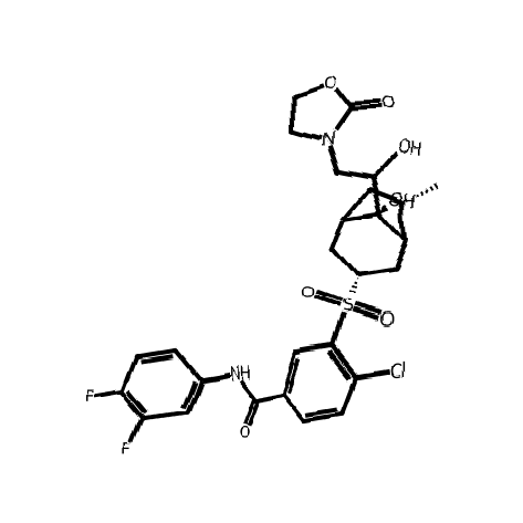 C[C@H]1CC2C[C@@H](S(=O)(=O)c3cc(C(=O)Nc4ccc(F)c(F)c4)ccc3Cl)CC1[C@@]2(O)C(O)CN1CCOC1=O